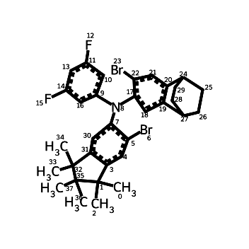 CC1(C)c2cc(Br)c(N(c3cc(F)cc(F)c3)c3cc4c(cc3Br)C3CCC4CC3)cc2C(C)(C)C1(C)C